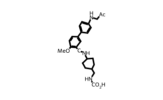 COc1ccc(-c2ccc(NCC(C)=O)cc2)cc1CNC1CCC(CNC(=O)O)CC1